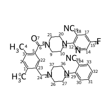 Cc1cc(C)c(C(=O)N2CCN(c3ncc(F)cc3C#N)CC2)cc1CN1CCN(c2ccccc2C#N)CC1